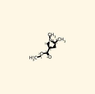 CCOC(=O)c1cc(C)n(C)c1